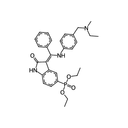 CCOP(=O)(OCC)c1ccc2c(c1)C(=C(Nc1ccc(CN(C)CC)cc1)c1ccccc1)C(=O)N2